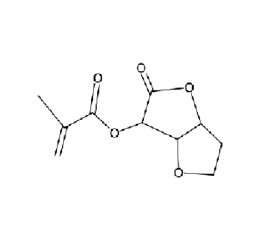 C=C(C)C(=O)OC1C(=O)OC2CCOC21